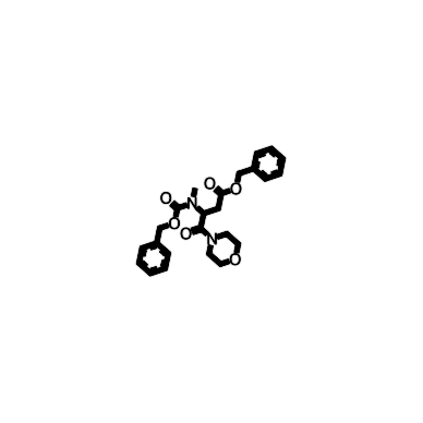 CN(C(=O)OCc1ccccc1)C(CC(=O)OCc1ccccc1)C(=O)N1CCOCC1